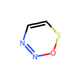 C1=CSON=N1